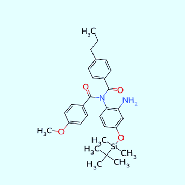 CCCc1ccc(C(=O)N(C(=O)c2ccc(OC)cc2)c2ccc(O[Si](C)(C)C(C)(C)C)cc2N)cc1